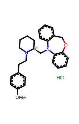 COc1ccc(CCN2CCCC[C@H]2CN2c3ccccc3COc3ccccc32)cc1.Cl